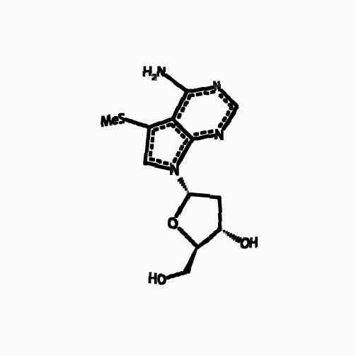 CSc1cn([C@@H]2C[C@H](O)[C@@H](CO)O2)c2ncnc(N)c12